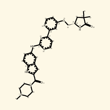 CN1CCN(C(=O)c2cc3cc(Nc4nccc(-c5cc(OC[C@@H]6CC(C)(C)C(=O)N6)ccn5)n4)ccc3[nH]2)CC1